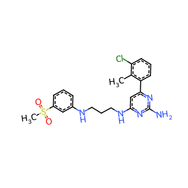 Cc1c(Cl)cccc1-c1cc(NCCCNc2cccc(S(C)(=O)=O)c2)nc(N)n1